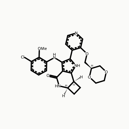 COc1c(Cl)cccc1Nc1c(-c2ccncc2OC[C@H]2COCCO2)[nH]c2c1C(=O)N[C@@H]1CC[C@H]21